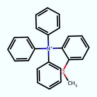 COc1ccccc1[N+](c1ccccc1)(c1ccccc1)c1ccccc1